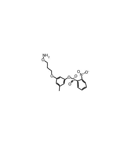 Cc1cc(OCCCON)cc(OS(=O)(=O)c2ccccc2[N+](=O)[O-])c1